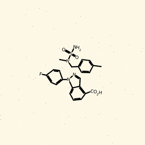 Cc1ccc(CN(C)S(N)(=O)=O)cc1.O=C(O)c1cccc2c1cnn2-c1ccc(F)cc1